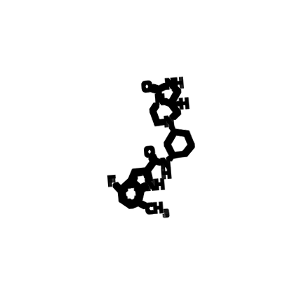 Cc1ccc(F)c2cc(C(=O)N[C@@H]3CCC[C@H](N4CCN5C(=O)NC[C@@H]5C4)C3)[nH]c12